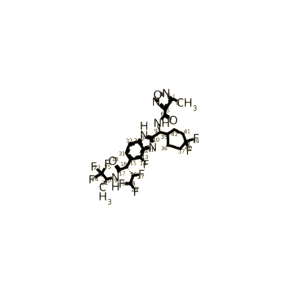 Cc1nonc1C(=O)N[C@H](c1nc2c(F)c([C@@H](C(=O)N[C@@H](C)C(F)(F)F)C(F)C(F)F)ccc2[nH]1)C1CCC(F)(F)CC1